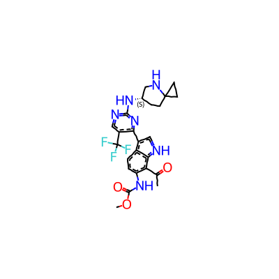 COC(=O)Nc1ccc2c(-c3nc(N[C@H]4CCC5(CC5)NC4)ncc3C(F)(F)F)c[nH]c2c1C(C)=O